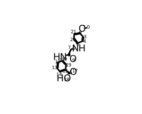 COc1ccc(NCC(=O)Nc2cccc(C(=O)O)c2)cc1